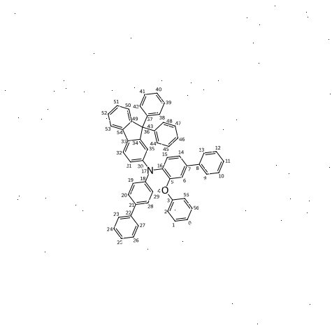 c1ccc(Oc2cc(-c3ccccc3)ccc2N(c2ccc(-c3ccccc3)cc2)c2ccc3c(c2)C(c2ccccc2)(c2ccccc2)c2ccccc2-3)cc1